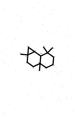 CC1(C)CCCC2(C)CCC3(C)CC3C12